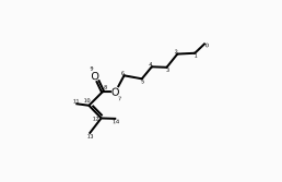 CCCCCCCOC(=O)C(C)=C(C)C